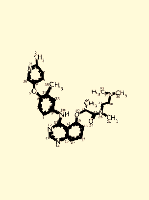 Cc1ccc(Oc2ccc(Nc3ncnc4cccc(O[C@H](C)C(=O)N(C)CCN(C)C)c34)cc2C)cn1